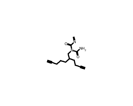 C#CCCCC(CCC#C)CN(C(N)=O)C(=O)N=C